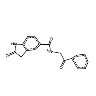 O=C1Cc2cc(C(=O)NCC(=O)c3ccccc3)ccc2N1